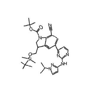 CC(C)n1ccc(Nc2nccc(-c3cc(C#N)c4c(c3)C(CO[Si](C)(C)C(C)(C)C)CN4C(=O)OC(C)(C)C)n2)n1